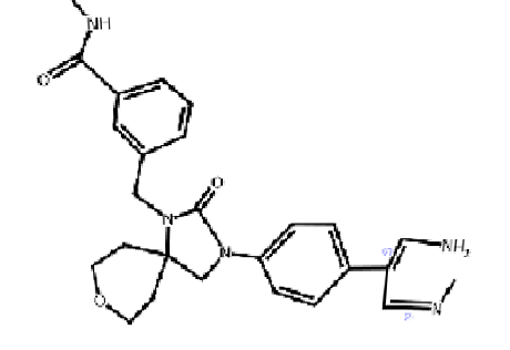 C/N=C\C(=C/N)c1ccc(N2CC3(CCOCC3)N(Cc3cccc(C(=O)NC)c3)C2=O)cc1